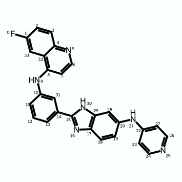 Fc1ccc2nccc(Nc3cccc(-c4nc5ccc(Nc6ccncc6)cc5[nH]4)c3)c2c1